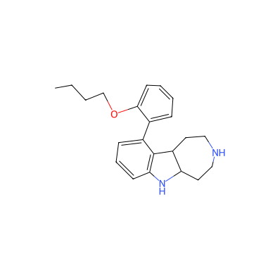 CCCCOc1ccccc1-c1cccc2c1C1CCNCCC1N2